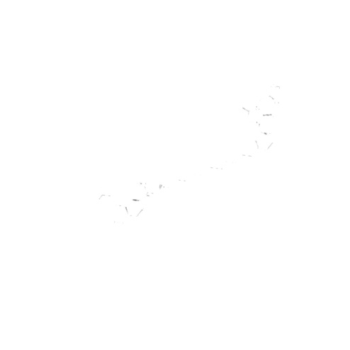 CC(=O)OCc1cc([C@@H](O)CNCCCCCCOCCCCc2cccc(N3CC(=O)N(CC(=O)O)C3=O)c2)ccc1O